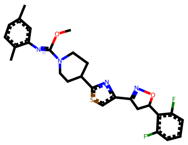 CO/C(=N\c1cc(C)ccc1C)N1CCC(c2nc(C3=NOC(c4c(F)cccc4F)C3)cs2)CC1